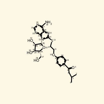 CC(C)CC(=O)c1ccc(OCCSc2nc3c(N)ncnc3n2[C@@H]2O[C@H](CO)[C@@H](O)[C@H]2O)cc1